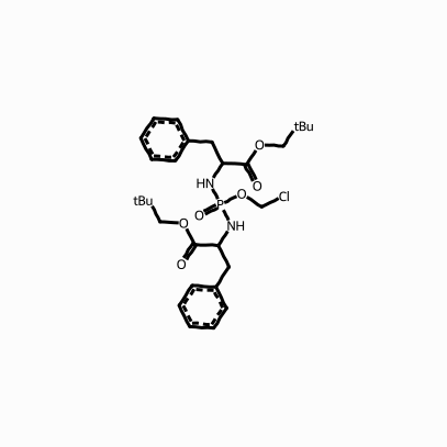 CC(C)(C)COC(=O)C(Cc1ccccc1)NP(=O)(NC(Cc1ccccc1)C(=O)OCC(C)(C)C)OCCl